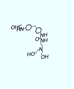 O=CNc1ccc(Cc2ccc(NC(=O)NCCN(CCO)CCO)cc2)cc1